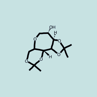 CC1(C)OCC2OC[C@H](O)[C@H]3OC(C)(C)OC3[C@@H]2O1